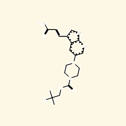 CC(C)(F)COC(=O)N1CCN(c2cnc3[nH]cc(/C=C/C(N)=O)c3c2)CC1